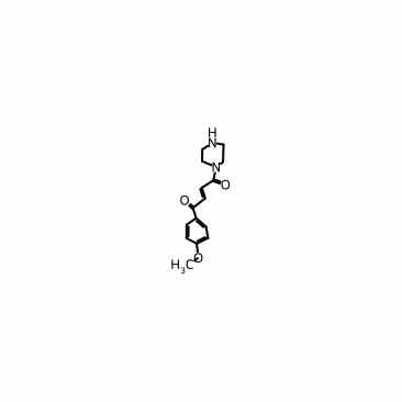 COc1ccc(C(=O)/C=C/C(=O)N2CCNCC2)cc1